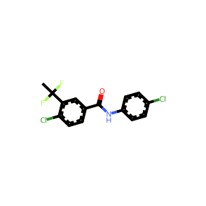 CC(F)(F)c1cc(C(=O)Nc2ccc(Cl)cc2)ccc1Cl